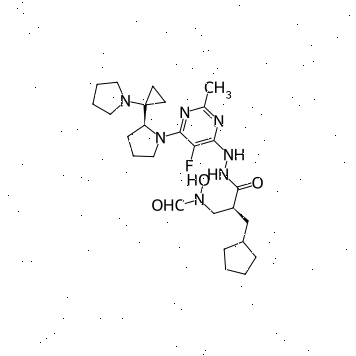 Cc1nc(NNC(=O)[C@@H](CC2CCCC2)CN(O)C=O)c(F)c(N2CCC[C@H]2C2(N3CCCC3)CC2)n1